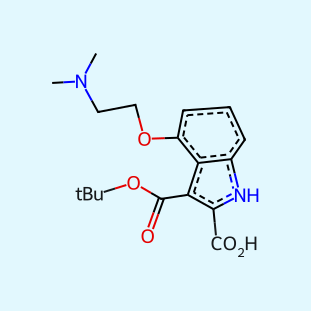 CN(C)CCOc1cccc2[nH]c(C(=O)O)c(C(=O)OC(C)(C)C)c12